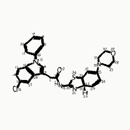 O=C(Cc1cn(-c2ccccc2)c2ccc(Cl)cc12)NC1=N[C@H]2C=CC(N3CCOCC3)=CC2S1